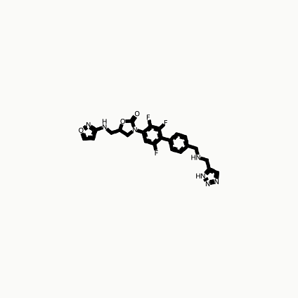 O=C1OC(CNc2ccon2)CN1c1cc(F)c(-c2ccc(CNCc3cnn[nH]3)cc2)c(F)c1F